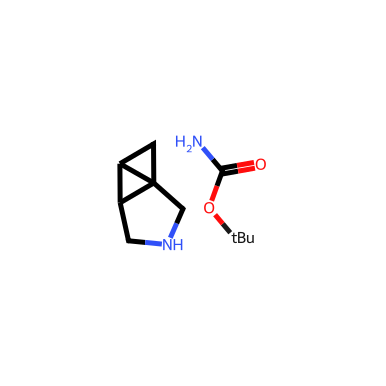 C1NCC23CC2C13.CC(C)(C)OC(N)=O